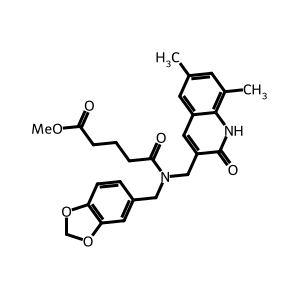 COC(=O)CCCC(=O)N(Cc1ccc2c(c1)OCO2)Cc1cc2cc(C)cc(C)c2[nH]c1=O